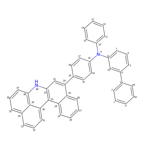 c1ccc(-c2cccc(N(c3ccccc3)c3ccc(-c4cc5c(c6ccccc46)-c4cccc6cccc(c46)N5)cc3)c2)cc1